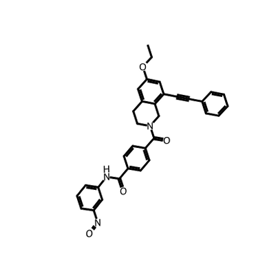 CCOc1cc(C#Cc2ccccc2)c2c(c1)CCN(C(=O)c1ccc(C(=O)Nc3cccc(N=O)c3)cc1)C2